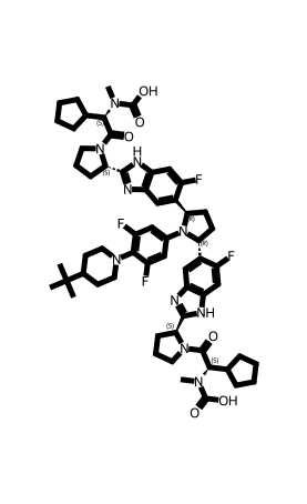 CN(C(=O)O)[C@H](C(=O)N1CCC[C@H]1c1nc2cc([C@H]3CC[C@H](c4cc5nc([C@@H]6CCCN6C(=O)[C@H](C6CCCC6)N(C)C(=O)O)[nH]c5cc4F)N3c3cc(F)c(N4CCC(C(C)(C)C)CC4)c(F)c3)c(F)cc2[nH]1)C1CCCC1